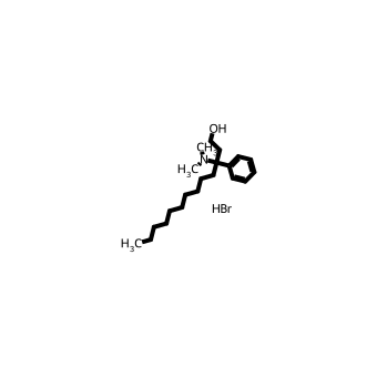 Br.CCCCCCCCCCC(CCO)(c1ccccc1)N(C)C